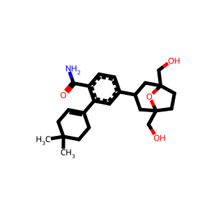 CC1(C)CC=C(c2cc(C3CC4(CO)CCC(CO)(C3)O4)ccc2C(N)=O)CC1